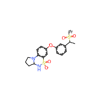 CC(C)S(=O)(=O)C(C)c1cccc(Oc2ccc3c(c2)S(=O)(=O)NC2CCCN32)c1